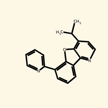 CC(C)c1ccnc2c1oc1c(-c3ccccn3)cccc12